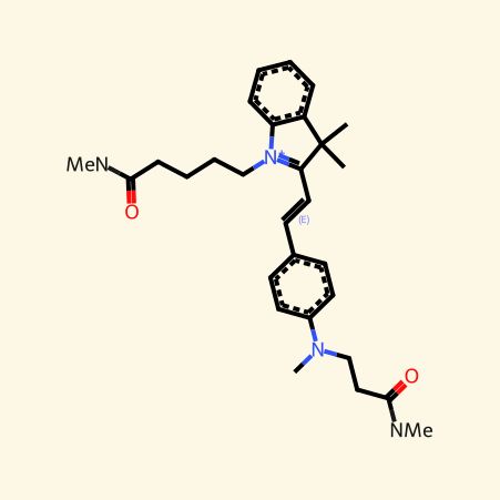 CNC(=O)CCCC[N+]1=C(/C=C/c2ccc(N(C)CCC(=O)NC)cc2)C(C)(C)c2ccccc21